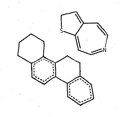 C1=CC2=CCSC2=CC=N1.c1ccc2c(c1)CCc1c-2ccc2c1CCCC2